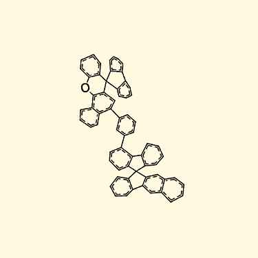 c1cc(-c2cccc3c2-c2ccccc2C32c3ccccc3-c3cc4ccccc4cc32)cc(-c2cc3c(c4ccccc24)Oc2ccccc2C32c3ccccc3-c3ccccc32)c1